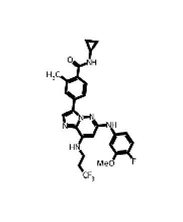 COc1cc(Nc2cc(NCCC(F)(F)F)c3ncc(-c4ccc(C(=O)NC5CC5)c(C)c4)n3n2)ccc1F